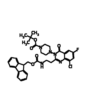 CC(C)(C)OC(=O)N1CCN(n2c(CCNC(=O)OCC3c4ccccc4-c4ccccc43)nc3c(Cl)cc(F)cc3c2=O)CC1